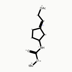 CC(=O)OC/C=C1\CCC(NC(=O)OC(C)(C)C)C1